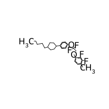 CCCCCC1CCC(c2ccc(OC(F)(F)COc3ccc(C)c(F)c3F)cc2)CC1